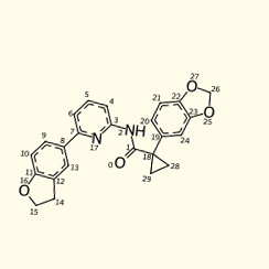 O=C(Nc1cccc(-c2ccc3c(c2)CCO3)n1)C1(c2ccc3c(c2)OCO3)CC1